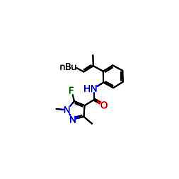 CCCCC=C(C)c1ccccc1NC(=O)c1c(C)nn(C)c1F